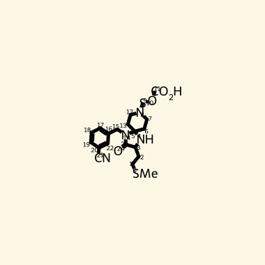 CSCCC1NC2(CCN(SOC(=O)O)CC2)N(Cc2cccc(C#N)c2)C1=O